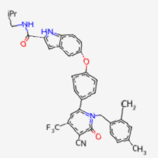 Cc1ccc(Cn2c(-c3ccc(Oc4ccc5[nH]c(C(=O)NCC(C)C)cc5c4)cc3)cc(C(F)(F)F)c(C#N)c2=O)c(C)c1